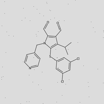 CC(C)c1c(C=O)c(C=O)n(Cc2ccncc2)c1Sc1cc(Cl)cc(Cl)c1